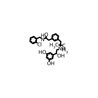 CC(C)(Cc1cccc(CC(=O)NCc2ccccc2Cl)c1)NC[C@H](O)c1cc(O)cc(O)c1